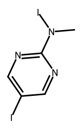 CN(I)c1ncc(I)cn1